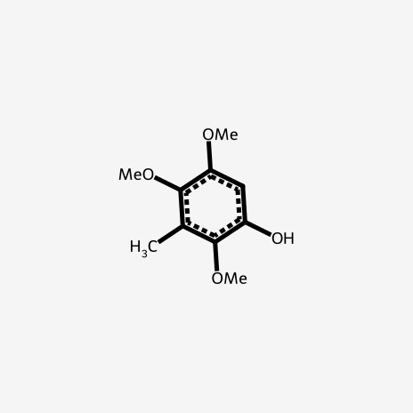 COc1cc(O)c(OC)c(C)c1OC